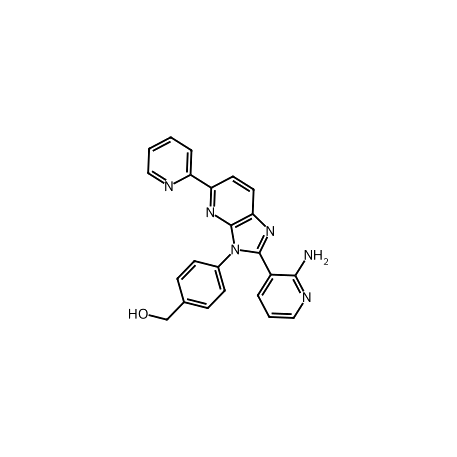 Nc1ncccc1-c1nc2ccc(-c3ccccn3)nc2n1-c1ccc(CO)cc1